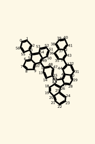 c1ccc(-c2c3ccccc3c(-c3ccc(-n4c5ccc6ccccc6c5c5ccc6ccc(-c7ccc8ccccc8c7)cc6c54)cc3)c3ccccc23)cc1